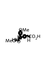 COCNC(=O)c1cc(-c2ccc(CNC(=O)O)cc2)n(-c2ccc(OC)cc2)n1